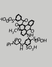 CC(C)N(CC(=O)Nc1cc(Nc2ccc3c4c2C(=O)c2ccccc2-c4c(C(=O)c2cccc(SOOO)c2)c(=O)n3C)c(SOOO)cc1S(=O)(=O)O)C(C)C